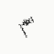 C=C(C)C.C=CC(=C)C.C=CC=C.C=CC=CC.C=CCCC.C=CCCC.CC(C)=C(C)C.CC=C(C)C